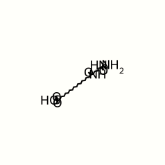 NNC(=O)CCCNC(=O)CCCCCCCCCCCCCCCS(=O)(=O)O